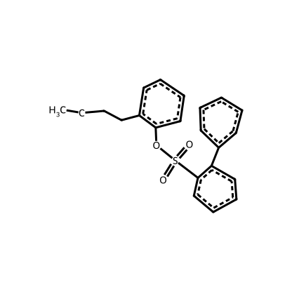 CCCCc1ccccc1OS(=O)(=O)c1ccccc1-c1ccccc1